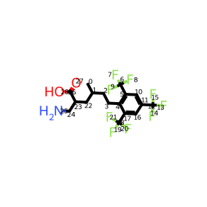 CC(CCc1c(C(F)(F)F)cc(C(F)(F)F)cc1C(F)(F)F)CC(CN)C(=O)O